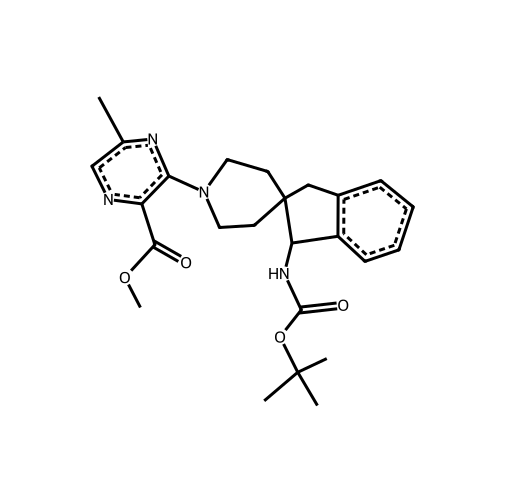 COC(=O)c1ncc(C)nc1N1CCC2(CC1)Cc1ccccc1C2NC(=O)OC(C)(C)C